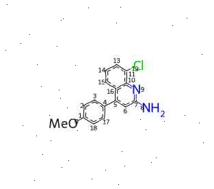 COc1ccc(-c2cc(N)nc3c(Cl)cccc23)cc1